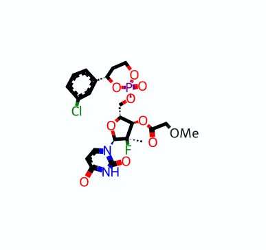 COCC(=O)O[C@@H]1[C@@H](CO[P@@]2(=O)OCC[C@@H](c3cccc(Cl)c3)O2)O[C@@H](n2ccc(=O)[nH]c2=O)[C@]1(C)F